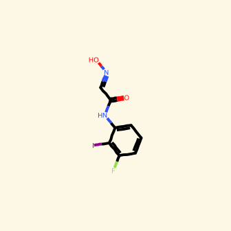 O=C(C=NO)Nc1cccc(F)c1I